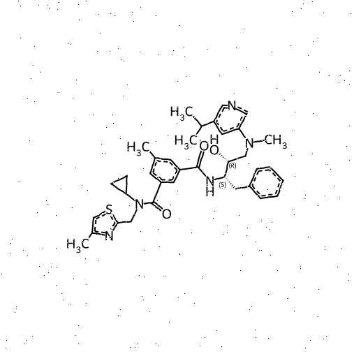 Cc1cc(C(=O)N[C@@H](Cc2ccccc2)[C@H](O)CN(C)c2cncc(C(C)C)c2)cc(C(=O)N(Cc2nc(C)cs2)C2CC2)c1